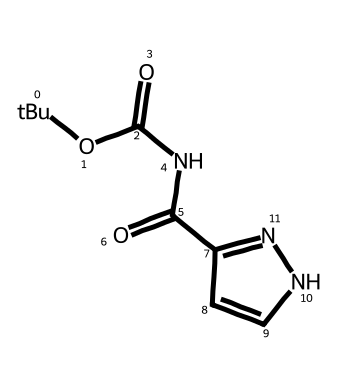 CC(C)(C)OC(=O)NC(=O)c1cc[nH]n1